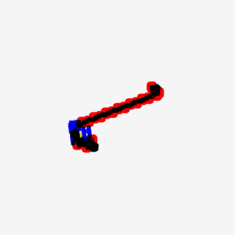 O=C(CCOCCOCCOCCOCCOCCOCCOCCOCCOCCOCCOCCOCCn1cc(-c2ccc3nc(C(=O)N4CCC5(CC4)NC(=O)N(c4ccccc4)C5=O)sc3c2)nn1)ON1C(=O)CCC1=O